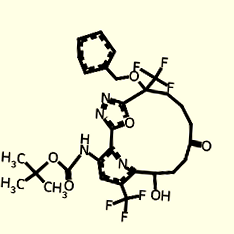 CC(C)(C)OC(=O)Nc1cc(C(F)(F)F)c2nc1-c1nnc(o1)C(OCc1ccccc1)(C(F)(F)F)CCCC(=O)CCC2O